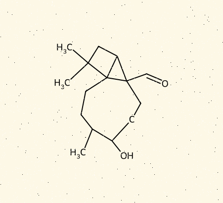 CC1CCC23C(CC2(C)C)C3(C=O)CCC1O